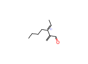 C=C(C=O)/C(=C/C)CCCC